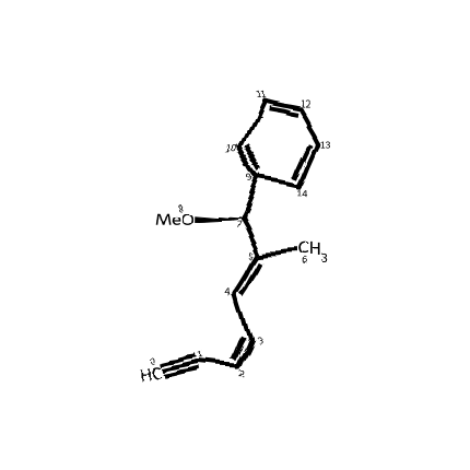 C#C/C=C\C=C(/C)[C@@H](OC)c1ccccc1